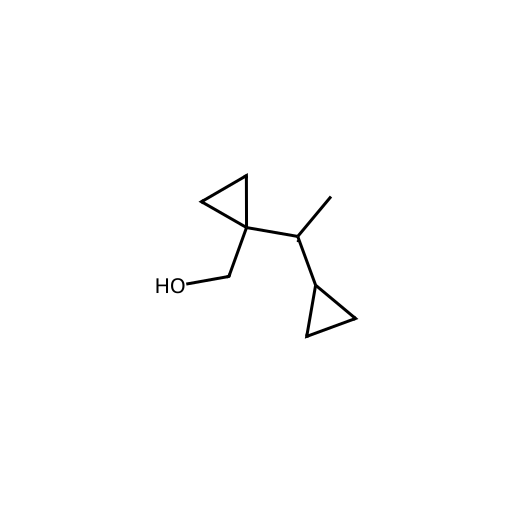 C[C](C1CC1)C1(CO)CC1